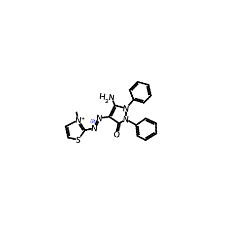 C[n+]1ccsc1/N=N/c1c(N)n(-c2ccccc2)n(-c2ccccc2)c1=O